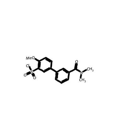 COc1ccc(-c2cccc(C(=O)N(C)C)c2)cc1S(=O)(=O)Cl